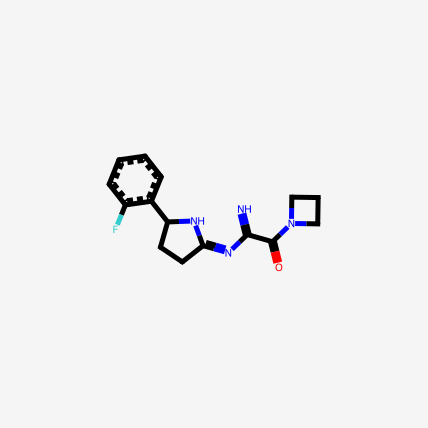 N=C(/N=C1/CCC(c2ccccc2F)N1)C(=O)N1CCC1